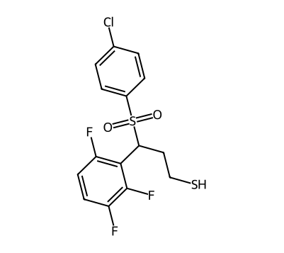 O=S(=O)(c1ccc(Cl)cc1)C(CCS)c1c(F)ccc(F)c1F